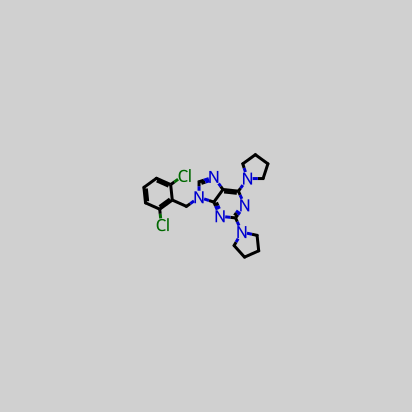 Clc1cccc(Cl)c1Cn1cnc2c(N3CCCC3)nc(N3CCCC3)nc21